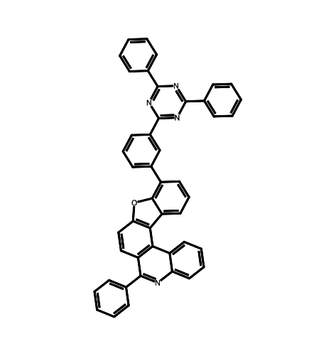 c1ccc(-c2nc(-c3ccccc3)nc(-c3cccc(-c4cccc5c4oc4ccc6c(-c7ccccc7)nc7ccccc7c6c45)c3)n2)cc1